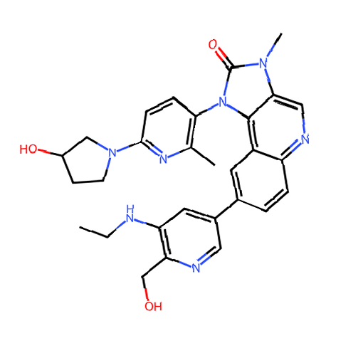 CCNc1cc(-c2ccc3ncc4c(c3c2)n(-c2ccc(N3CCC(O)C3)nc2C)c(=O)n4C)cnc1CO